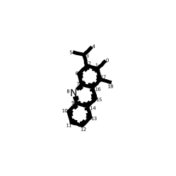 Cc1c(C(C)C)cc2nc3ccccc3cc2c1C